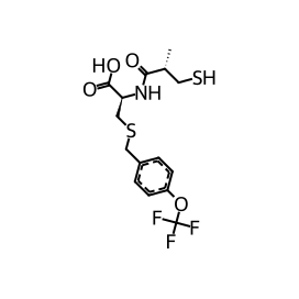 C[C@H](CS)C(=O)N[C@@H](CSCc1ccc(OC(F)(F)F)cc1)C(=O)O